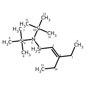 CCC(=C[SiH2]N([Si](C)(C)C)[Si](C)(C)C)CC